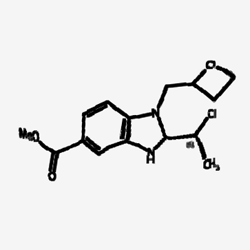 COC(=O)c1ccc2c(c1)NC([C@H](C)Cl)N2CC1CCO1